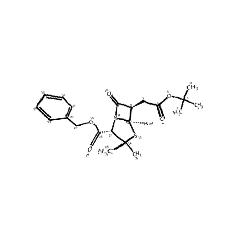 CC(C)(C)OC(=O)C[C@@H]1C(=O)N2[C@@H]1SC(C)(C)[C@@H]2C(=O)OCc1ccccc1